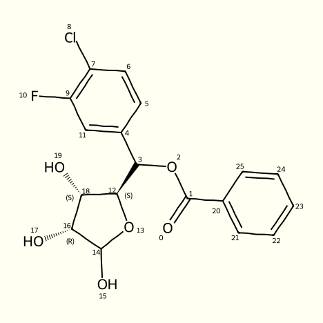 O=C(OC(c1ccc(Cl)c(F)c1)[C@H]1OC(O)[C@H](O)[C@@H]1O)c1ccccc1